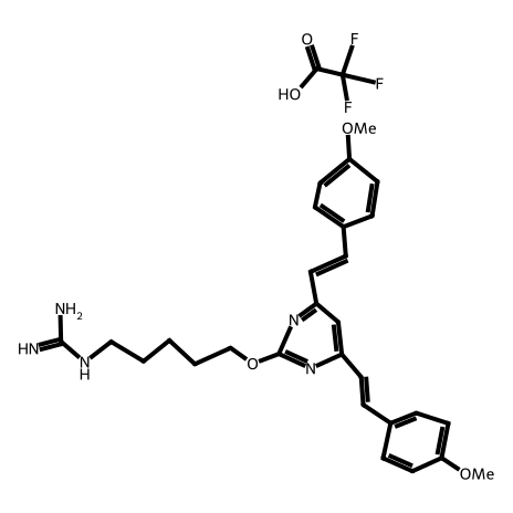 COc1ccc(C=Cc2cc(C=Cc3ccc(OC)cc3)nc(OCCCCCNC(=N)N)n2)cc1.O=C(O)C(F)(F)F